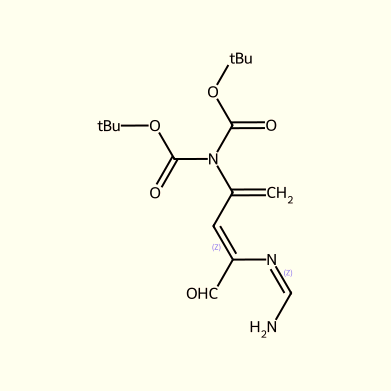 C=C(/C=C(C=O)\N=C/N)N(C(=O)OC(C)(C)C)C(=O)OC(C)(C)C